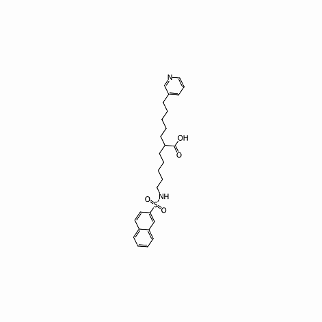 O=C(O)C(CCCCCNS(=O)(=O)c1ccc2ccccc2c1)CCCCCc1cccnc1